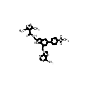 Cc1noc(C)c1C(=O)NCc1cc2cc(-c3ccc(S(C)(=O)=O)cc3)cc(Cn3cnc4c(N)ncnc43)c2[nH]1